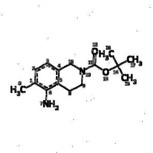 Cc1ccc2c(c1N)CCN(C(=O)OC(C)(C)C)C2